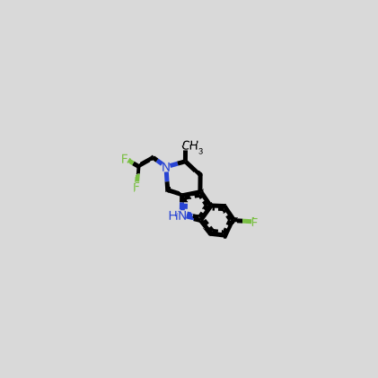 CC1Cc2c([nH]c3ccc(F)cc23)CN1CC(F)F